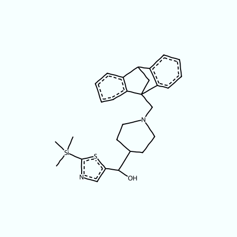 C[Si](C)(C)c1ncc(C(O)C2CCN(CC34CC(c5ccccc53)c3ccccc34)CC2)s1